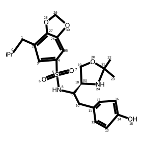 CC(C)Cc1cc(S(=O)(=O)NC(Cc2ccc(O)cc2)[C@H]2COC(C)(C)N2)cc2c1OCO2